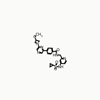 COC1CN(c2cncc(-c3ccc(C(=O)NCc4cc(NS(=O)(=O)C5CC5)ccn4)cc3)n2)C1